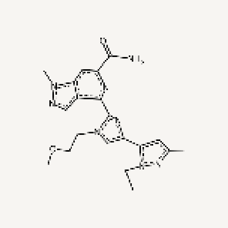 CCn1nc(C)cc1-c1cn(CCOC)c(-c2nc(C(N)=O)cc3c2cnn3C)n1